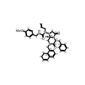 C=CCN(C(=O)NCc1ccc(OC)cc1)N1CC(=O)N2[C@@H](Cc3ccccc3)C(=O)N(Cc3cccc4c3CCC=C4)C[C@@H]21